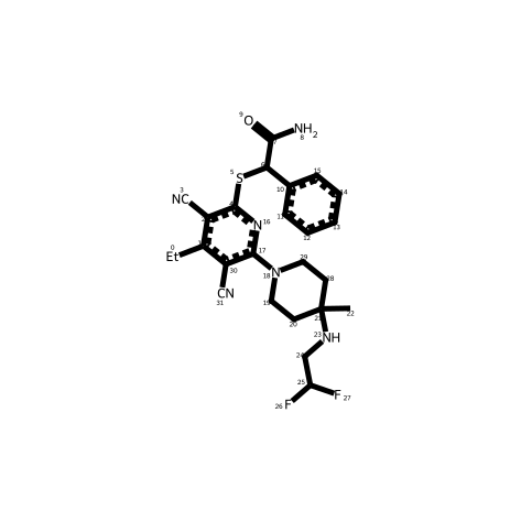 CCc1c(C#N)c(SC(C(N)=O)c2ccccc2)nc(N2CCC(C)(NCC(F)F)CC2)c1C#N